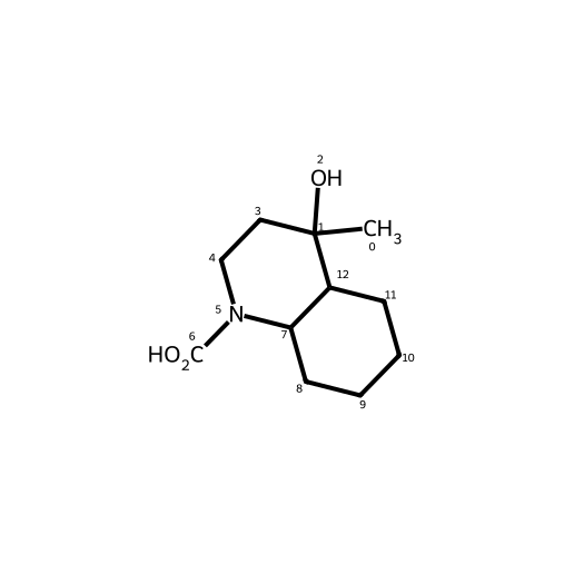 CC1(O)CCN(C(=O)O)C2CCCCC21